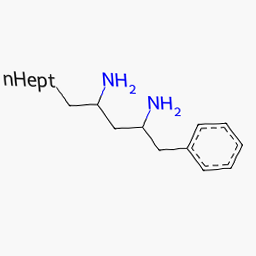 CCCCCCCCC(N)CC(N)Cc1ccccc1